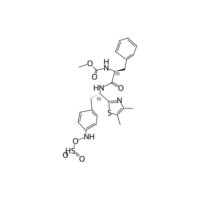 COC(=O)N[C@@H](Cc1ccccc1)C(=O)N[C@@H](Cc1ccc(NO[SH](=O)=O)cc1)c1nc(C)c(C)s1